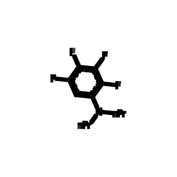 CCCN(CCC)c1cc(F)c(F)c(F)c1F